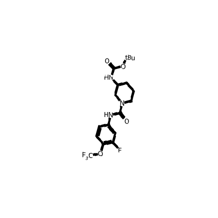 CC(C)(C)OC(=O)NC1CCCN(C(=O)Nc2ccc(OC(F)(F)F)c(F)c2)C1